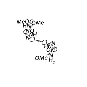 COC[C@H](NC(=O)OC)C(=O)N1CCC[C@H]1c1nc2ccc(C#Cc3ccc(-c4cnc([C@@H]5CCCN5C(=O)[C@@H](N)COC)[nH]4)cc3)cc2[nH]1